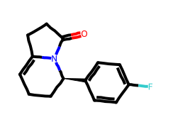 O=C1CCC2=CCC[C@H](c3ccc(F)cc3)N12